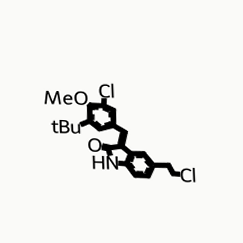 COc1c(Cl)cc(C=C2C(=O)Nc3ccc(CCCl)cc32)cc1C(C)(C)C